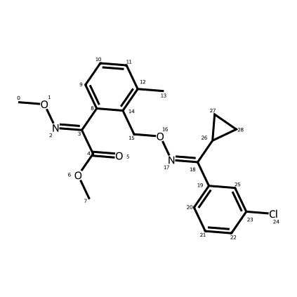 CO/N=C(/C(=O)OC)c1cccc(C)c1CO/N=C(/c1cccc(Cl)c1)C1CC1